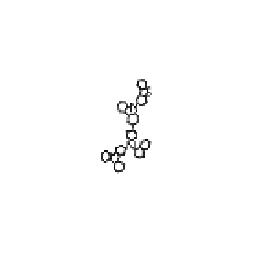 c1ccc2c(N(c3ccc(-c4ccc5c(c4)c4ccccc4n5-c4ccc5sc6ccccc6c5c4)cc3)c3ccc4c5ccccc5c5ccccc5c4c3)cccc2c1